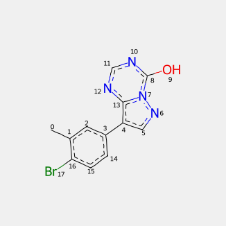 Cc1cc(-c2cnn3c(O)ncnc23)ccc1Br